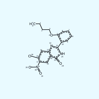 CCCCOc1ccccc1-c1nc2cc(Cl)c([N+](=O)[O-])cc2c(=O)[nH]1